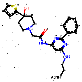 CC(=O)NCCNc1cc(NC(=O)CN2CCC(O)(c3cccs3)CC2)nc(-c2ccccc2)n1